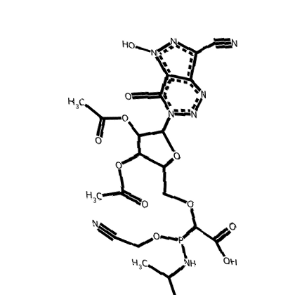 CC(=O)OC1C(COC(C(=O)O)P(NC(C)C)OCC#N)OC(n2nnc3c(C#N)nn(O)c3c2=O)C1OC(C)=O